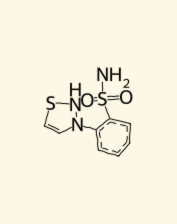 NS(=O)(=O)c1ccccc1N1C=CSN1